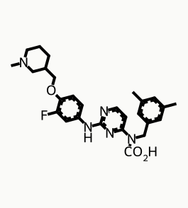 Cc1cc(C)cc(CN(C(=O)O)c2ccnc(Nc3ccc(OCC4CCCN(C)C4)c(F)c3)n2)c1